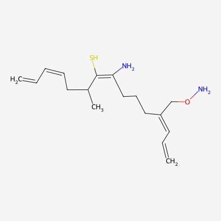 C=C/C=C\CC(C)/C(S)=C(/N)CCC/C(=C\C=C)CON